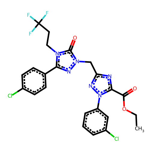 CCOC(=O)c1nc(Cn2nc(-c3ccc(Cl)cc3)n(CCC(F)(F)F)c2=O)nn1-c1cccc(Cl)c1